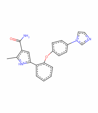 Cc1[nH]c(-c2ccccc2Oc2ccc(-n3ccnc3)cc2)cc1C(N)=O